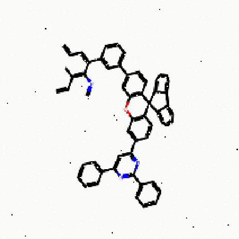 C=C/C=C(\C(N=C)=C(/C)C=C)c1cccc(-c2ccc3c(c2)Oc2cc(-c4cc(-c5ccccc5)nc(-c5ccccc5)n4)ccc2C32c3ccccc3-c3ccccc32)c1